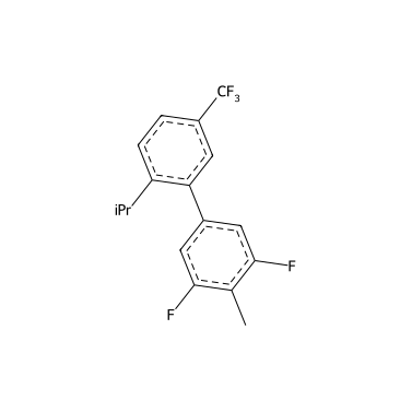 Cc1c(F)cc(-c2cc(C(F)(F)F)ccc2C(C)C)cc1F